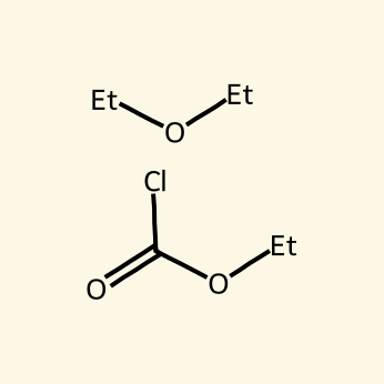 CCOC(=O)Cl.CCOCC